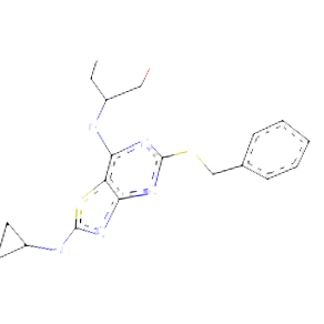 CCC(CO)Nc1nc(SCc2ccccc2)nc2nc(NC3CC3)sc12